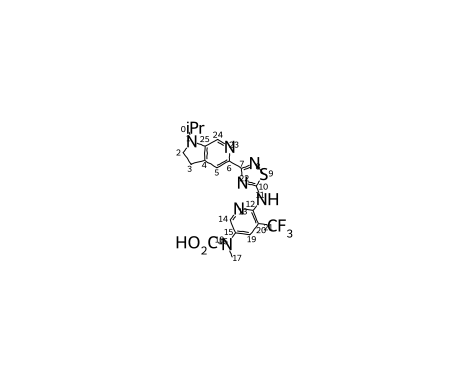 CC(C)N1CCc2cc(-c3nsc(Nc4ncc(N(C)C(=O)O)cc4C(F)(F)F)n3)ncc21